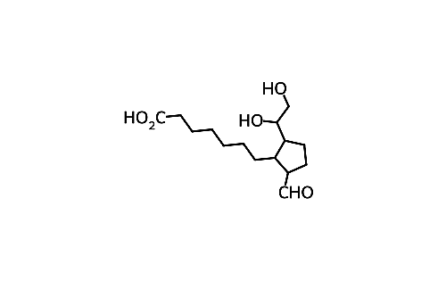 O=CC1CCC(C(O)CO)C1CCCCCCC(=O)O